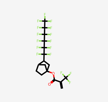 C=C(C(=O)OC12CCC(C1)C(C(F)(F)C(F)(F)C(F)(F)C(F)(F)C(F)(F)C(F)(F)F)C2)C(F)(F)F